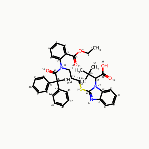 CCOC(=O)c1ccccc1N(CCCSc1nc2ccccc2n1C(C(=O)O)C(C)(C)C)C(=O)C(C)(c1ccccc1)c1ccccc1